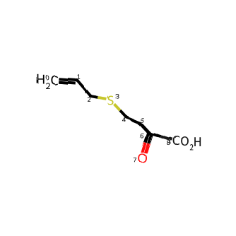 C=CCSCCC(=O)C(=O)O